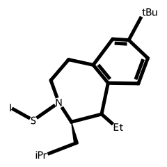 CCC1c2ccc(C(C)(C)C)cc2CCN(SI)[C@@H]1CC(C)C